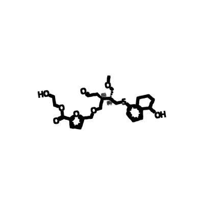 COC[C@H](CSc1cccc2c1CCCC2O)[C@H](CC=O)COCc1ccc(C(=O)OCCO)o1